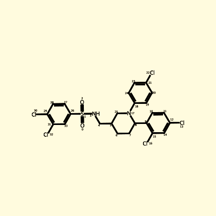 O=S(=O)(NCC1CCC(c2ccc(Cl)cc2Cl)N(c2ccc(Cl)cc2)C1)c1ccc(Cl)c(Cl)c1